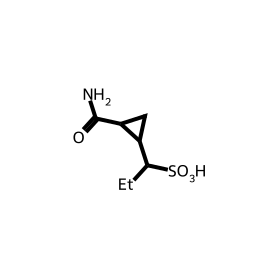 CCC(C1CC1C(N)=O)S(=O)(=O)O